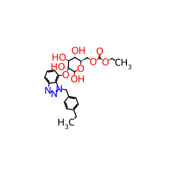 CCOC(=O)OC[C@H]1OC(O)[C@@](O)(Oc2cccc3nnn(Cc4ccc(CC)cc4)c23)[C@@H](O)[C@@H]1O